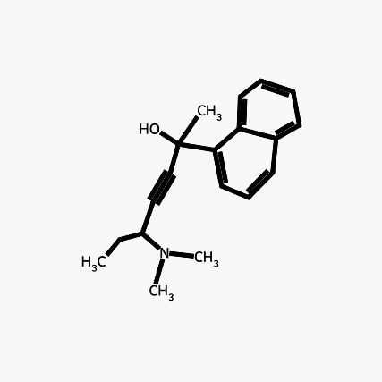 CCC(C#CC(C)(O)c1cccc2ccccc12)N(C)C